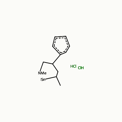 CNCC(C[CH](C)[Sn])c1ccccc1.Cl.Cl